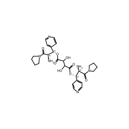 N[C@@H](C(=O)N1CCCC1)[C@@H](OC(=O)C(O)C(O)C(=O)O[C@@H](c1ccncc1)[C@@H](N)C(=O)N1CCCC1)c1ccncc1